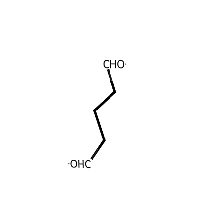 O=[C]CCC[C]=O